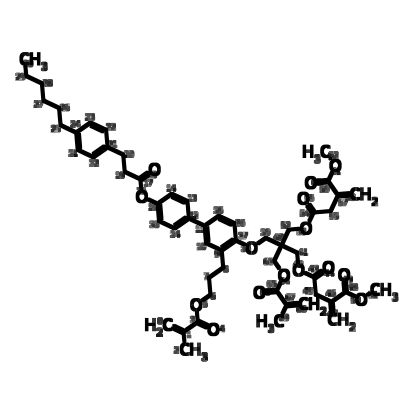 C=C(C)C(=O)OCCCc1cc(-c2ccc(OC(=O)CCc3ccc(CCCCCC)cc3)cc2)ccc1OCC(COC(=O)CC(=C)C(=O)OC)(COC(=O)CC(=C)C(=O)OC)COC(=O)C(=C)C